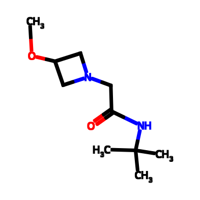 COC1CN(CC(=O)NC(C)(C)C)C1